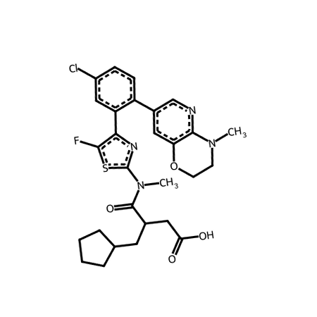 CN1CCOc2cc(-c3ccc(Cl)cc3-c3nc(N(C)C(=O)C(CC(=O)O)CC4CCCC4)sc3F)cnc21